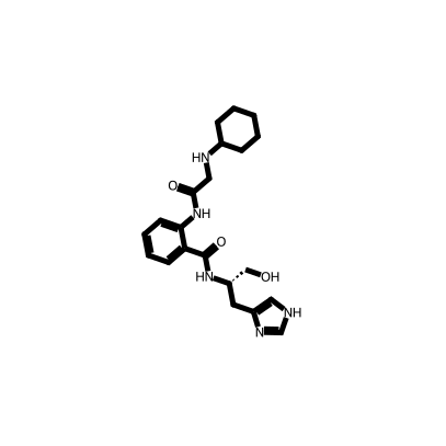 O=C(CNC1CCCCC1)Nc1ccccc1C(=O)N[C@H](CO)Cc1c[nH]cn1